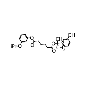 CC(C)Oc1cccc(OC(=O)CCCCC(=O)OC(C)(C)c2cccc(O)c2)c1